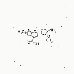 COc1cc(-c2cc(C(=O)O)c3cn(C)nc3n2)ccc1N